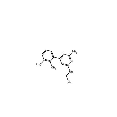 Cc1cccc(-c2cc(NCC#N)nc(N)n2)c1C